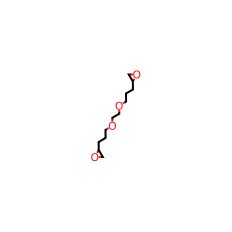 C(COCCOCCCC1CO1)CC1CO1